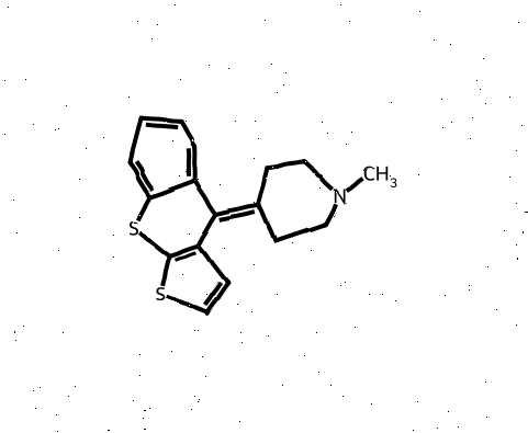 CN1CCC(=C2c3ccccc3Sc3sccc32)CC1